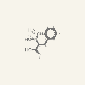 N.O=C(O)[C@H](Cc1ccccc1)N(O)O